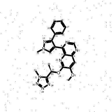 COc1cc2ncnc(-c3cn(C)nc3-c3ccccc3)c2nc1O[C@H](C)c1nnnn1C